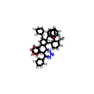 c1ccc(-c2cc(-c3ccccc3)c(-c3nnnc(-c4ccccc4)c3-c3ccccc3)c(-c3cccc4[se]c5ccccc5c34)c2-c2ccccc2)cc1